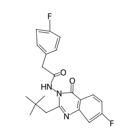 CC(C)(C)Cc1nc2cc(F)ccc2c(=O)n1NC(=O)Cc1ccc(F)cc1